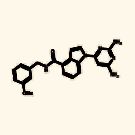 COc1cccc(CNC(=O)c2cccc3c2ccn3-c2cc(N)nc(N)n2)c1